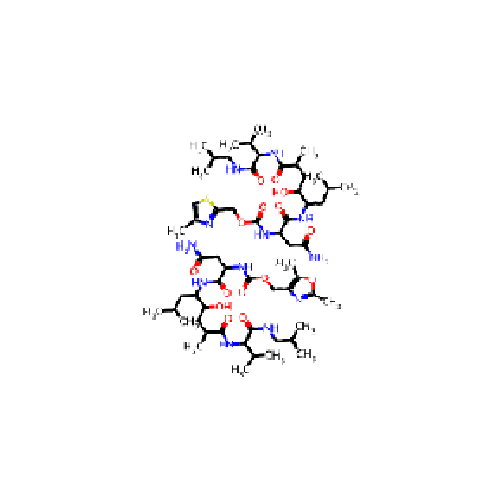 Cc1csc(COC(=O)NC(CC(N)=O)C(=O)NC(CC(C)C)C(O)CC(C)C(=O)NC(C(=O)NCC(C)C)C(C)C)n1.Cc1nc(COC(=O)NC(CC(N)=O)C(=O)NC(CC(C)C)C(O)CC(C)C(=O)NC(C(=O)NCC(C)C)C(C)C)c(C)o1